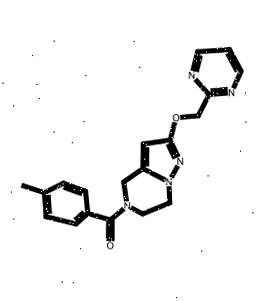 Cc1ccc(C(=O)N2CCn3nc(OCc4ncccn4)cc3C2)cc1